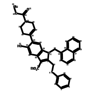 CCOC(=O)c1c(CSc2ccccc2)n(Cc2cccc3ccccc23)c2cc(C3=CCN(C(=O)OC(C)(C)C)CC3)c(O)cc12